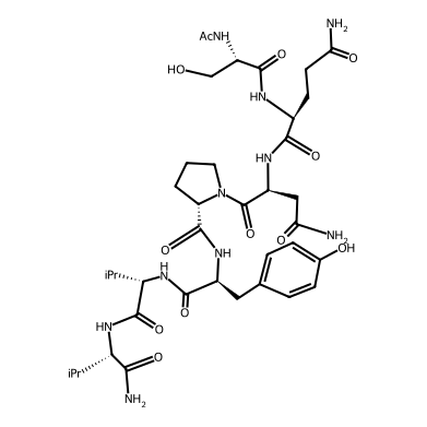 CC(=O)N[C@@H](CO)C(=O)N[C@@H](CCC(N)=O)C(=O)N[C@@H](CC(N)=O)C(=O)N1CCC[C@H]1C(=O)N[C@@H](Cc1ccc(O)cc1)C(=O)N[C@H](C(=O)N[C@H](C(N)=O)C(C)C)C(C)C